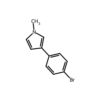 Cn1ccc(-c2ccc(Br)cc2)c1